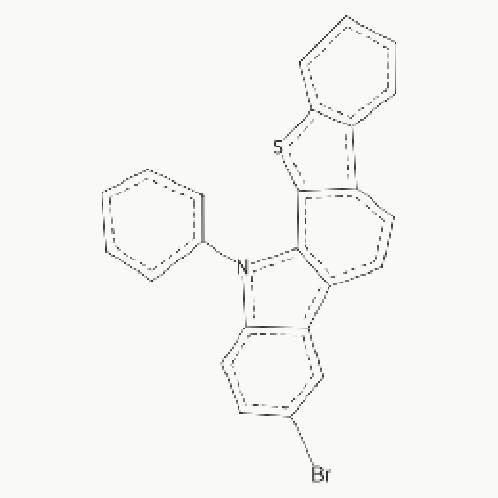 Brc1ccc2c(c1)c1ccc3c4ccccc4sc3c1n2-c1ccccc1